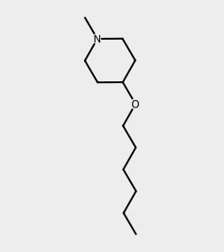 CCCCCCOC1CCN(C)CC1